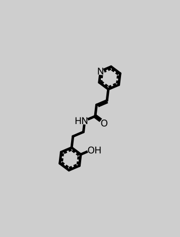 O=C(C=Cc1cccnc1)NCCc1ccccc1O